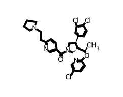 C[C@@H](Oc1ccc(Cl)cn1)[C@@H]1CN(C(=O)c2ccc(CCN3CCCC3)nc2)C[C@H]1c1ccc(Cl)c(Cl)c1